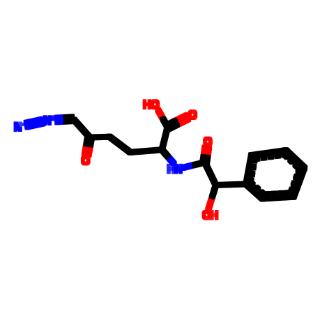 [N-]=[N+]=CC(=O)CCC(NC(=O)C(O)c1ccccc1)C(=O)O